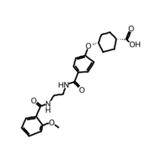 COc1ccccc1C(=O)NCCNC(=O)c1ccc(O[C@H]2CC[C@@H](C(=O)O)CC2)cc1